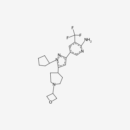 Nc1ncc(-c2cc(C3CCN(C4COC4)CC3)n(C3CCCC3)n2)cc1C(F)(F)F